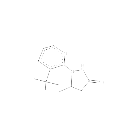 CC1CC(=O)NN1c1ncccc1C(C)(C)C